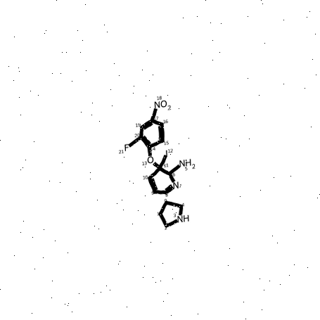 C1CCNC1.NC1N=CC=CC1(I)Oc1ccc([N+](=O)[O-])cc1F